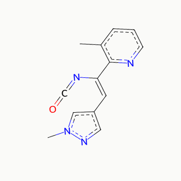 Cc1cccnc1C(=Cc1cnn(C)c1)N=C=O